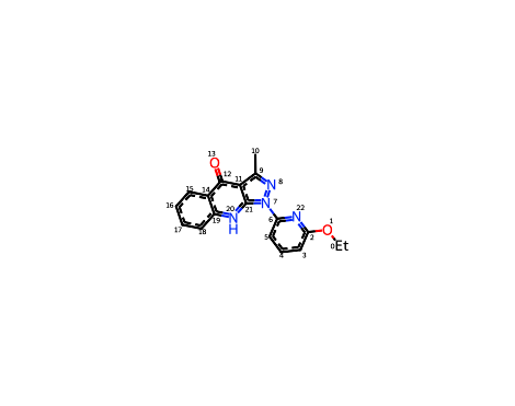 CCOc1cccc(-n2nc(C)c3c(=O)c4ccccc4[nH]c32)n1